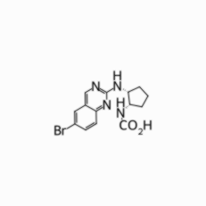 O=C(O)N[C@H]1CCC[C@H]1Nc1ncc2cc(Br)ccc2n1